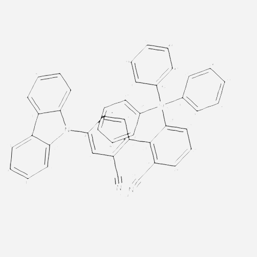 N#Cc1cc(-n2c3ccccc3c3ccccc32)ccc1-c1c(C#N)cccc1[Si](c1ccccc1)(c1ccccc1)c1ccccc1